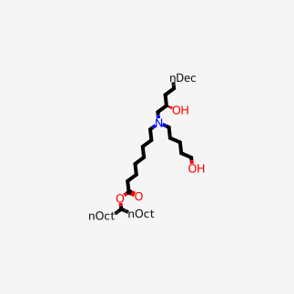 CCCCCCCCCCCC[C@@H](O)CN(CCCCCO)CCCCCCCC(=O)OC(CCCCCCCC)CCCCCCCC